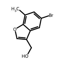 Cc1cc(Br)cc2c(CO)coc12